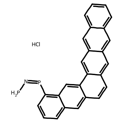 Cl.P/N=P\c1cccc2cc3ccc4cc5cc6ccccc6cc5cc4c3cc12